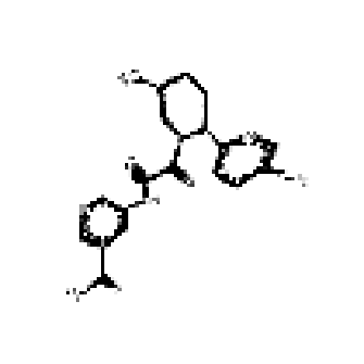 Cc1ccc([C@@H]2CC[C@H](C)CN2C(=O)C(=O)Nc2cncc(C(N)=O)c2)nc1